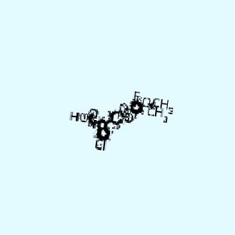 CC(C)Oc1ccc(S(=O)(=O)N2CC=C(c3cn(CC(=O)O)c4cc(Cl)ccc34)CC2)cc1F